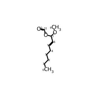 CCCCCC=CC(OC)OC=O